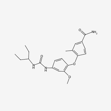 CCC(CC)NC(=O)Nc1ccc(Oc2ccc(C(N)=O)cc2C)c(OC)c1